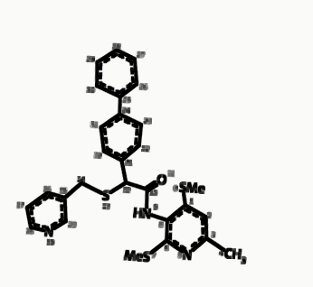 CSc1cc(C)nc(SC)c1NC(=O)C(SCc1cccnc1)c1ccc(-c2ccccc2)cc1